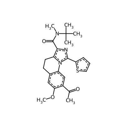 COc1cc2c(cc1C(C)=O)-n1c(-c3cccs3)nc(C(=O)N(C)C(C)(C)C)c1CC2